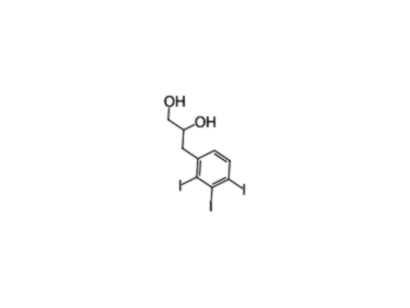 OCC(O)Cc1ccc(I)c(I)c1I